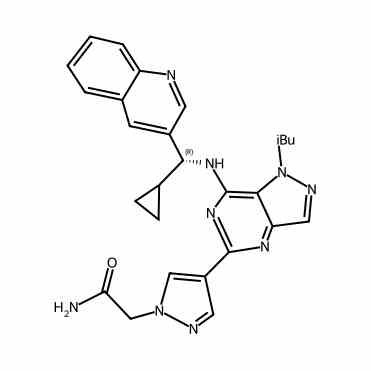 CCC(C)n1ncc2nc(-c3cnn(CC(N)=O)c3)nc(N[C@@H](c3cnc4ccccc4c3)C3CC3)c21